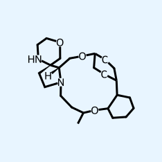 CC1CCN2CC[C@@]3(COCCN3)[C@@H]2COC2CCC(CC2)C2CCCCC2O1